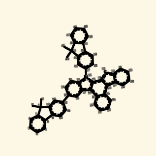 CC1(C)c2ccccc2-c2ccc(-c3ccc4c(c3)c3c5ccccc5c5c6ccccc6sc5c3n4-c3ccc4c(c3)C(C)(C)c3ccccc3-4)cc21